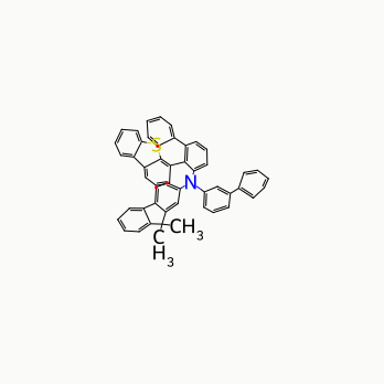 CC1(C)c2ccccc2-c2ccc(N(c3cccc(-c4ccccc4)c3)c3cccc(-c4ccccc4)c3-c3cccc4c3sc3ccccc34)cc21